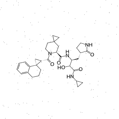 O=C(NC1CC1)C(O)[C@H](C[C@@H]1CCNC1=O)NC(=O)[C@@H]1CC2(CCN1C(=O)[C@H]1C[C@@]13CCCc1ccccc13)CC2